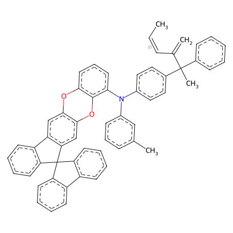 C=C(/C=C\C)C(C)(c1ccccc1)c1ccc(N(c2cccc(C)c2)c2cccc3c2Oc2cc4c(cc2O3)-c2ccccc2C42c3ccccc3-c3ccccc32)cc1